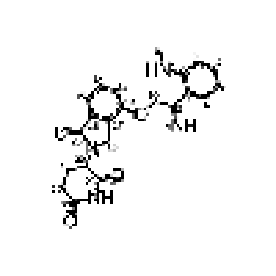 CNc1ccccc1C(=N)COc1cccc2c1CN(C1CCC(=O)NC1=O)C2=O